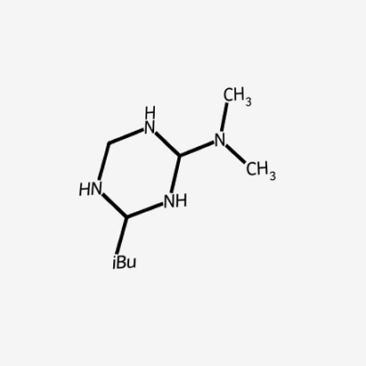 CCC(C)C1NCNC(N(C)C)N1